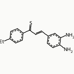 CCc1ccc(C(=S)C=Cc2ccc(N)c(N)c2)cc1